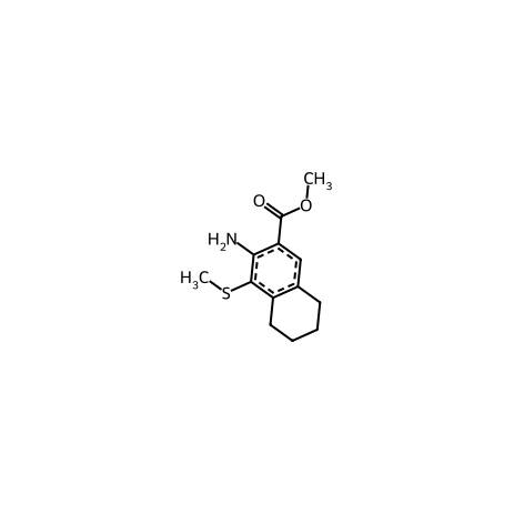 COC(=O)c1cc2c(c(SC)c1N)CCCC2